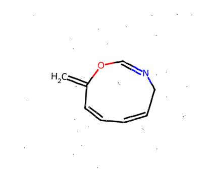 C=C1/C=C\C=C/C/N=C\O1